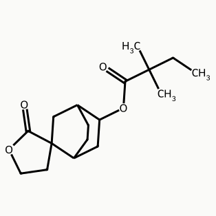 CCC(C)(C)C(=O)OC1CC2CCC1CC21CCOC1=O